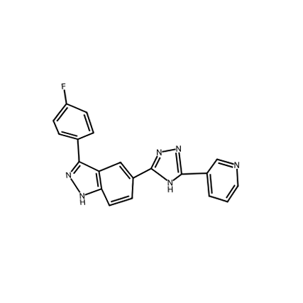 Fc1ccc(-c2n[nH]c3ccc(-c4nnc(-c5cccnc5)[nH]4)cc23)cc1